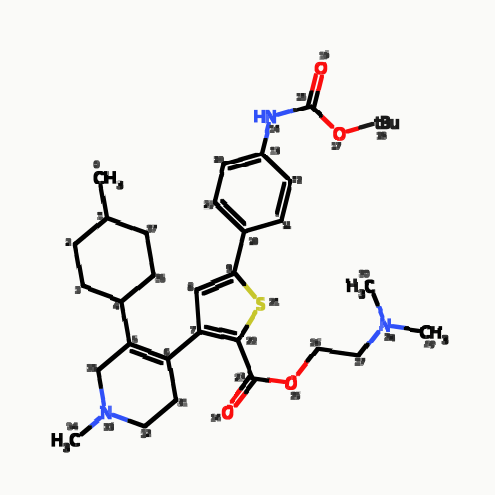 CC1CCC(C2=C(c3cc(-c4ccc(NC(=O)OC(C)(C)C)cc4)sc3C(=O)OCCN(C)C)CCN(C)C2)CC1